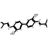 CC(C)C=Nc1ccc(-c2ccc(N=CC(C)C)c(O)c2)cc1O